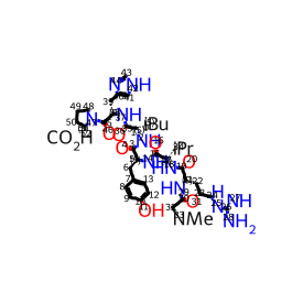 CC[C@H](C)[C@H](NC(=O)[C@H](Cc1ccc(O)cc1)NC(=O)[C@@H](NC(=O)[C@H](CCCNC(=N)N)NC(=O)CNC)C(C)C)C(=O)N[C@@H](Cc1c[nH]cn1)C(=O)N1CCC[C@H]1C(=O)O